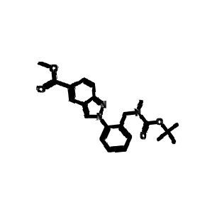 COC(=O)c1ccc2nn(-c3ccccc3CN(C)C(=O)OC(C)(C)C)cc2c1